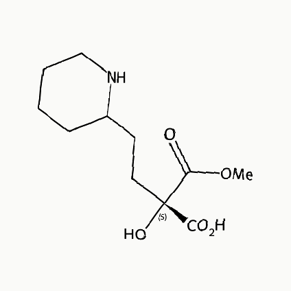 COC(=O)[C@](O)(CCC1CCCCN1)C(=O)O